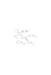 C=CC.COS(=O)(=O)O